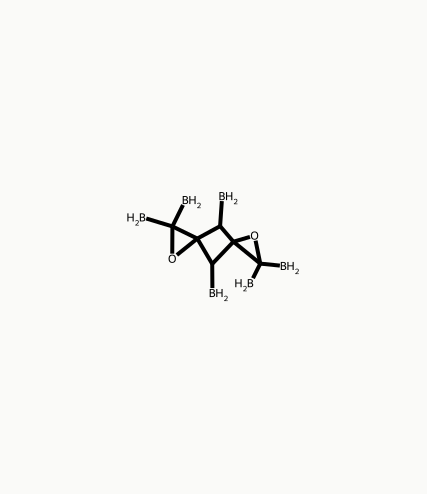 BC1C2(OC2(B)B)C(B)C12OC2(B)B